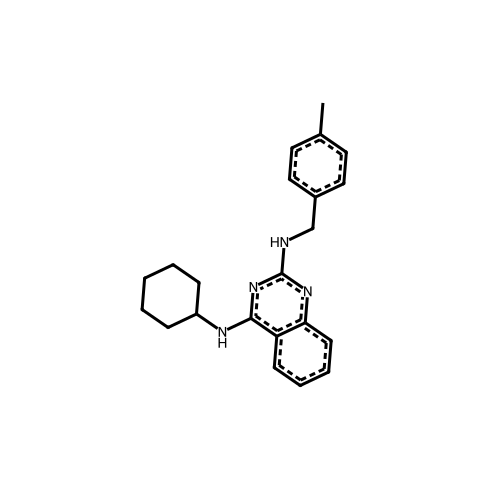 Cc1ccc(CNc2nc(NC3CCCCC3)c3ccccc3n2)cc1